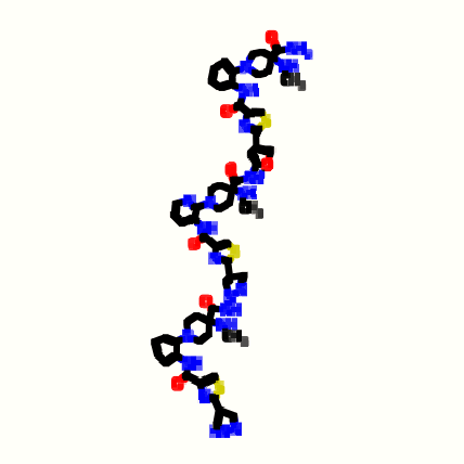 CNC1(C(N)=O)CCN(c2ccccc2NC(=O)c2csc(-c3coc(NC(=O)C4(NC)CCN(c5ncccc5NC(=O)c5csc(-c6cnn(NC(=O)C7(NC)CCN(c8ccccc8NC(=O)c8csc(-c9cn[nH]c9)n8)CC7)c6)n5)CC4)c3)n2)CC1